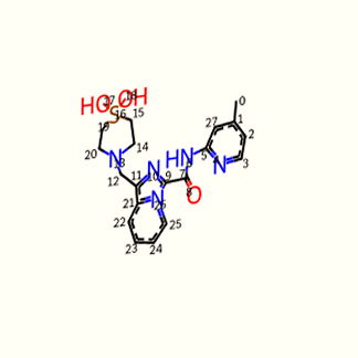 Cc1ccnc(NC(=O)c2nc(CN3CCS(O)(O)CC3)c3ccccn23)c1